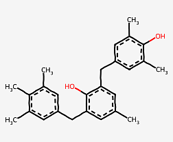 Cc1cc(Cc2cc(C)c(C)c(C)c2)c(O)c(Cc2cc(C)c(O)c(C)c2)c1